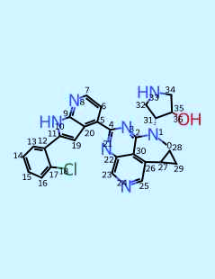 CN(c1nc(-c2ccnc3[nH]c(-c4ccccc4Cl)cc23)nc2cncc(C3CC3)c12)[C@@H]1CNC[C@H]1O